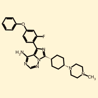 CN1CCN([C@H]2CC[C@@H](c3nc(-c4ccc(Oc5ccccc5)cc4F)c4c(N)ncnn43)CC2)CC1